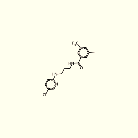 Cc1cc(C(=O)NCCCNc2ccc(Cl)cn2)cc(C(F)(F)F)c1